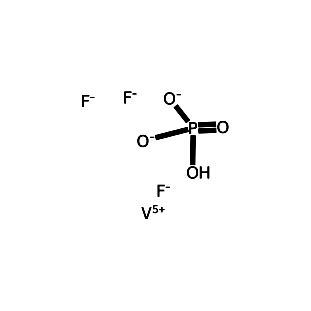 O=P([O-])([O-])O.[F-].[F-].[F-].[V+5]